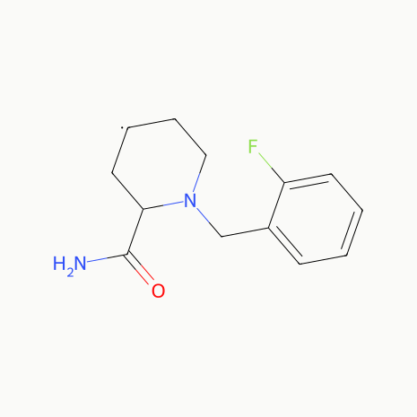 NC(=O)C1C[CH]CCN1Cc1ccccc1F